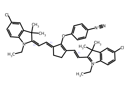 CCN1/C(=C/C=C2\CCC(/C=C/C3=[N+](CC)c4ccc(Cl)cc4C3(C)C)=C2Oc2ccc([N+]#N)cc2)C(C)(C)c2cc(Cl)ccc21